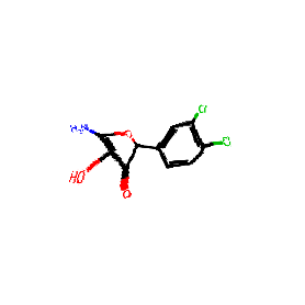 NC1=C(O)C(=O)C(c2ccc(Cl)c(Cl)c2)O1